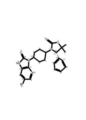 CC1(C)OC(=O)N(C2CCC(n3c(=O)[nH]c4cc(Br)cnc43)CC2)[C@H]1c1ccccc1